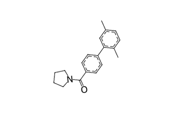 Cc1ccc(C)c(-c2ccc(C(=O)N3CCCC3)cc2)c1